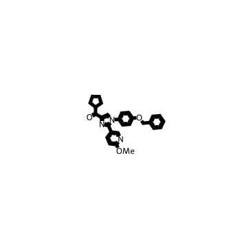 COc1ccc(-c2nc(C(=O)C3CCCC3)cn2-c2ccc(OCc3ccccc3)cc2)cn1